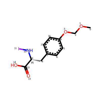 COCOc1ccc(C[C@@H](NI)C(=O)O)cc1